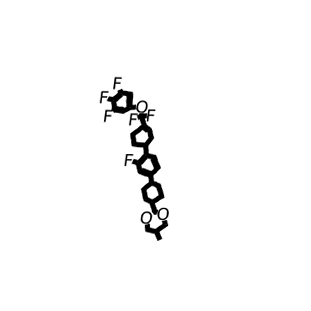 CC1COC(C2CCC(c3ccc(C4CC=C(C(F)(F)Oc5cc(F)c(F)c(F)c5)CC4)c(F)c3)CC2)OC1